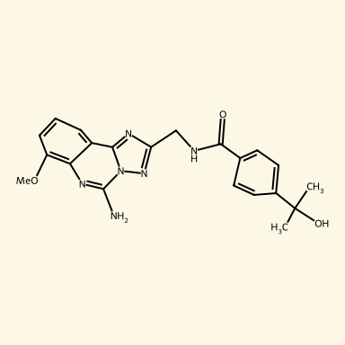 COc1cccc2c1nc(N)n1nc(CNC(=O)c3ccc(C(C)(C)O)cc3)nc21